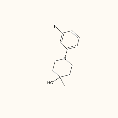 CC1(O)CCN(c2cccc(F)c2)CC1